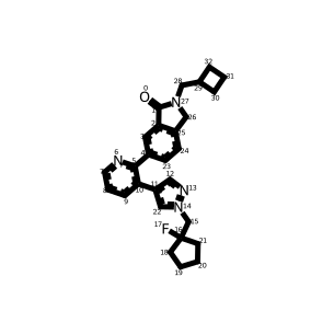 O=C1c2cc(-c3ncccc3-c3cnn(CC4(F)CCCC4)c3)ccc2CN1CC1CCC1